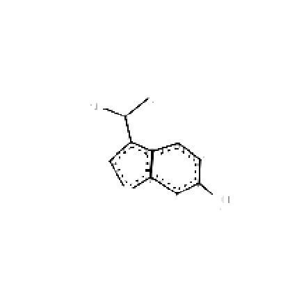 CC(=O)NC(C)c1coc2cc(O)ccc12